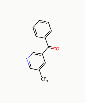 O=C(c1ccccc1)c1cncc(C(F)(F)F)c1